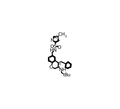 Cn1cnc(S(=O)(=O)NCc2ccc3c(c2)[C@@H](Cc2ccccc2)[C@@H](NCC(C)(C)C)CO3)c1